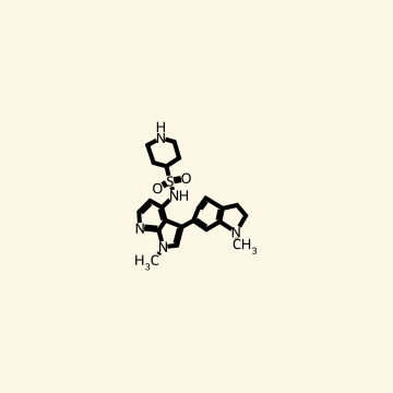 CN1CCc2ccc(-c3cn(C)c4nccc(NS(=O)(=O)C5CCNCC5)c34)cc21